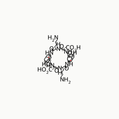 NCCCCC1NC(=O)[C@H](CC(=O)O)NC(=O)[C@@]23CC4C[C@H](C[C@@](C4)(C2)NC(=O)C(CCCCN)NC(=O)[C@H](CC(=O)O)NC(=O)[C@@]24CC5C[C@H](C[C@@](C5)(C2)NC1=O)C4)C3